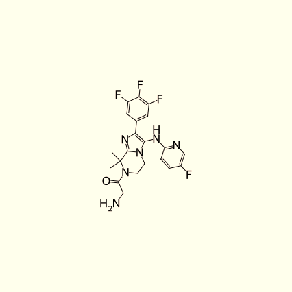 CC1(C)c2nc(-c3cc(F)c(F)c(F)c3)c(Nc3ccc(F)cn3)n2CCN1C(=O)CN